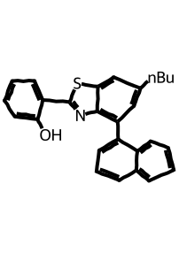 CCCCc1cc(-c2cccc3ccccc23)c2nc(-c3ccccc3O)sc2c1